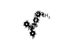 COc1cc(N2CCN(C(=O)Cn3nc(-c4ccc(F)cc4)nc3-c3ccccc3)CC2)ncn1